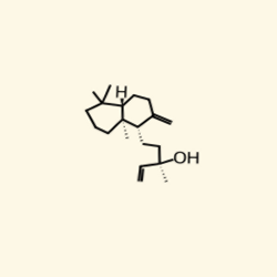 C=C[C@](C)(O)CC[C@H]1C(=C)CC[C@H]2C(C)(C)CCC[C@]12C